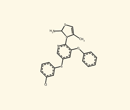 CC1=CSC(N)N1c1ncc(Sc2cccc(Cl)c2)cc1Oc1ccccc1